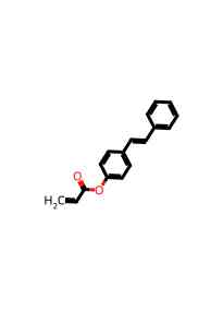 C=CC(=O)Oc1ccc(/C=C/c2ccccc2)cc1